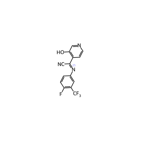 N#C/C(=N\c1ccc(F)c(C(F)(F)F)c1)c1ccncc1O